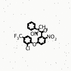 CS(N=O)(C(=O)c1cc(Oc2ccc(C(F)(F)F)cc2Cl)ccc1[N+](=O)[O-])c1ccccc1